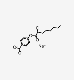 CCCCCCC(Cl)C(=O)Oc1ccc(C(=O)[O-])cc1.[Na+]